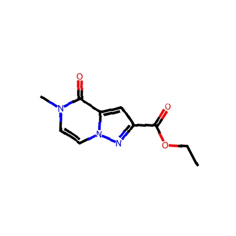 CCOC(=O)c1cc2c(=O)n(C)ccn2n1